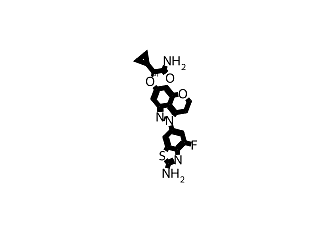 NC(=O)[C@@H](Oc1cc2c3c(n(-c4cc(F)c5nc(N)sc5c4)nc3c1)CCO2)C1CC1